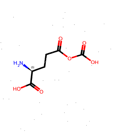 N[C@@H](CCC(=O)OC(=O)O)C(=O)O